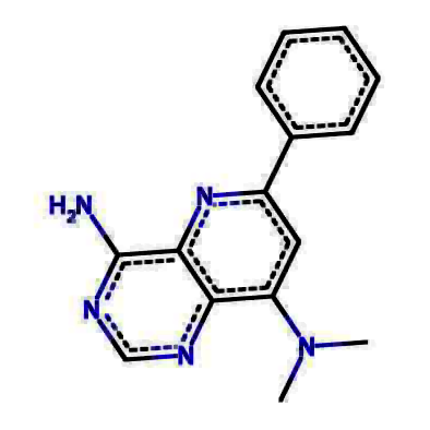 CN(C)c1cc(-c2ccccc2)nc2c(N)ncnc12